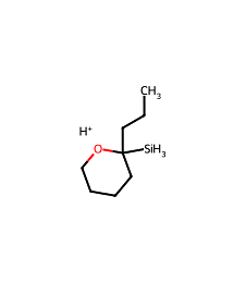 CCCC1([SiH3])CCCCO1.[H+]